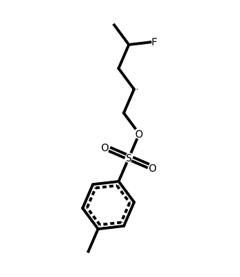 Cc1ccc(S(=O)(=O)OC[CH]CC(C)F)cc1